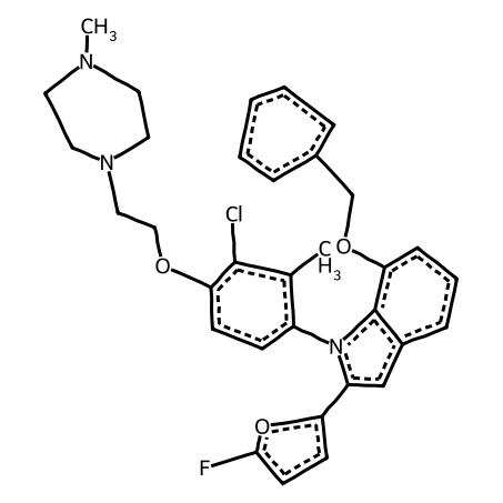 Cc1c(-n2c(-c3ccc(F)o3)cc3cccc(OCc4ccccc4)c32)ccc(OCCN2CCN(C)CC2)c1Cl